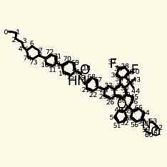 CCCCCC1CCC(c2ccc(-c3ccc(C(=O)Nc4ccc(-c5ccc6c7c(c8c(c6c5)-c5cc(F)cc(F)c5C8(C)C)C=CC(c5ccccc5)(c5ccc(N6CCOCC6)cc5)O7)cc4)cc3)cc2)CC1